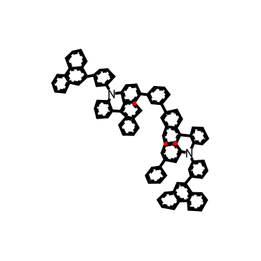 c1ccc(-c2cccc(N(c3cccc(-c4cc5ccccc5c5ccccc45)c3)c3ccccc3-c3cccc4cc(-c5cccc(-c6ccc(N(c7cccc(-c8cc9ccccc9c9ccccc89)c7)c7ccccc7-c7cccc8ccccc78)cc6)c5)ccc34)c2)cc1